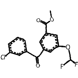 COC(=O)c1cc(OC(F)F)cc(C(=O)c2cccc(Cl)c2)c1